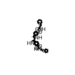 O=S(=O)(NCCN1CCCCC1)c1ccc2[c]c(-c3c[nH]c4cc(S(=O)(=O)NCCN5CCCC5)ccc34)[nH]c2c1